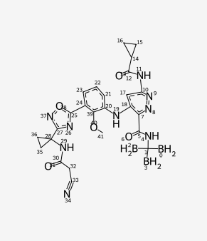 BC(B)(B)NC(=O)c1nnc(NC(=O)C2CC2)cc1Nc1cccc(-c2nc(C3(NC(=O)CC#N)CC3)no2)c1OC